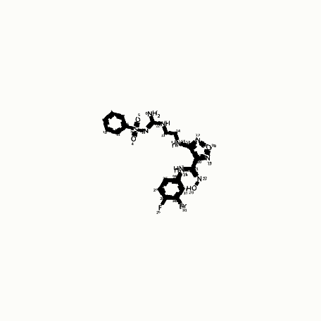 N/C(=N\S(=O)(=O)c1ccccc1)NCCNc1nonc1/C(=N/O)Nc1ccc(F)c(Br)c1